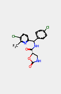 O=C1NC[C@@H](C(=O)NC(c2ccc(Cl)cc2)c2ccc(Cl)c(C(F)(F)F)n2)O1